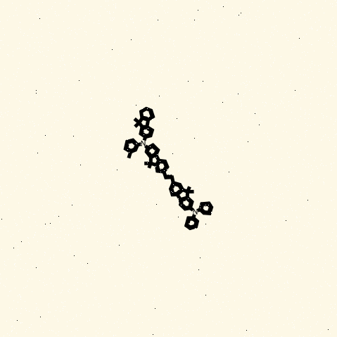 Cc1cccc(N(c2ccc3c(c2)C(C)(C)C2=C3C=CCC2)c2ccc3c(c2)C(C)(C)c2cc(/C=C/c4ccc5c(c4)C(C)(C)c4cc(N(c6ccccc6)c6ccccc6)ccc4-5)ccc2-3)c1